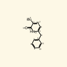 CCC(C)c1ncc(Cc2ccccc2)[nH]c1=O